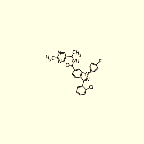 Cc1ncc(C(C)NC(=O)c2ccc3c(-c4ccccc4Cl)nn(-c4ccc(F)cc4)c3c2)cn1